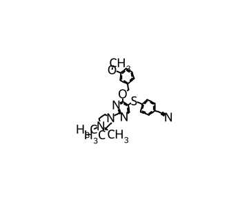 COc1cccc(COc2nc(N3CCN(C)C(C)(C)C3)ncc2Sc2ccc(C#N)cc2)c1